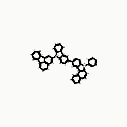 c1ccc(-n2c3ccc(-c4ccc5c(c4)c4ccccc4n5-c4cc5c6c(cccc6c4)-c4ccccc4-5)cc3c3c4ccccc4ccc32)cc1